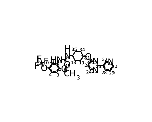 COc1ccc(OC(F)(F)F)cc1NC(=O)NC1CCC(Oc2ccnc(-c3cccnc3)n2)CC1